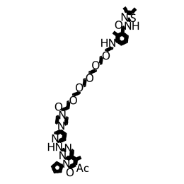 CC(=O)c1c(C)c2cnc(Nc3ccc(N4CCN(C(=O)CCOCCOCCOCCOCCOCCNc5cccc(C(=O)Nc6nc(C)c(C)s6)c5C)CC4)cn3)nc2n(C2CCCC2)c1=O